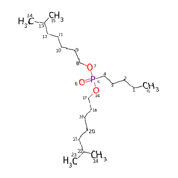 CCCCCP(=O)(OCCCCCC(C)C)OCCCCCC(C)C